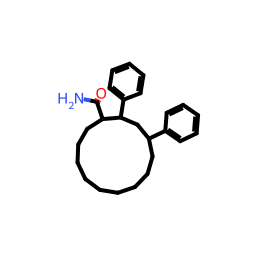 NC(=O)C1CCCCCCCCCC(c2ccccc2)CC1c1ccccc1